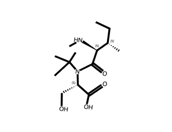 CC[C@H](C)[C@H](NC)C(=O)N([C@@H](CO)C(=O)O)C(C)(C)C